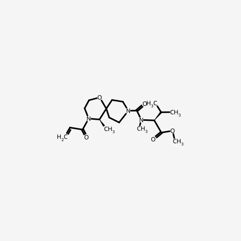 C=CC(=O)N1CCOC2(CCN(C(=O)N(C)[C@H](C(=O)OC)C(C)C)CC2)[C@H]1C